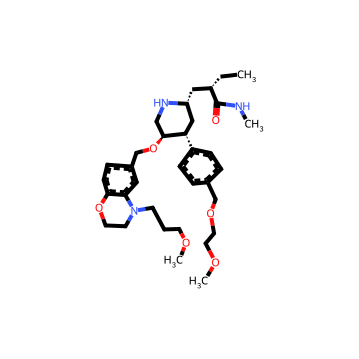 CC[C@@H](C[C@@H]1C[C@H](c2ccc(COCCOC)cc2)[C@@H](OCc2ccc3c(c2)N(CCCOC)CCO3)CN1)C(=O)NC